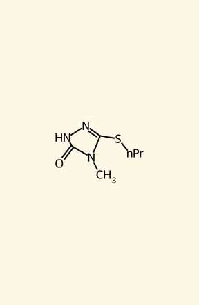 CCCSc1n[nH]c(=O)n1C